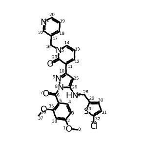 COc1ccc(C(=O)n2nc(-c3cccn(Cc4cccnc4)c3=O)cc2NCc2ccc(Cl)s2)c(OC)c1